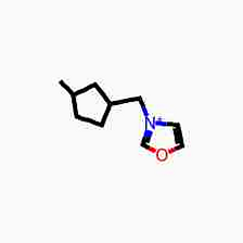 CC1CCC(C[n+]2ccoc2)C1